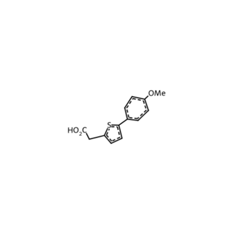 COc1ccc(-c2ccc(CC(=O)O)s2)cc1